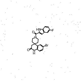 O=C1CC2(CCN(C(=O)c3cc4cc(F)ccc4[nH]3)CC2)c2cc(Br)ccc2N1